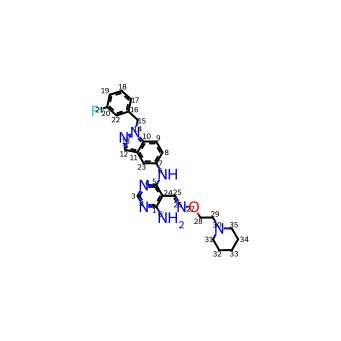 Nc1ncnc(Nc2ccc3c(cnn3Cc3cccc(F)c3)c2)c1C=NOCCN1CCCCC1